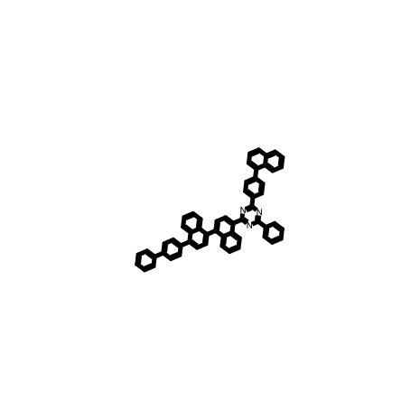 c1ccc(-c2ccc(-c3ccc(-c4ccc(-c5nc(-c6ccccc6)nc(-c6ccc(-c7cccc8ccccc78)cc6)n5)c5ccccc45)c4ccccc34)cc2)cc1